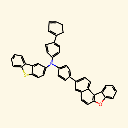 C1=CCCC(c2ccc(N(c3ccc(-c4ccc5c(ccc6oc7ccccc7c65)c4)cc3)c3ccc4sc5ccccc5c4c3)cc2)=C1